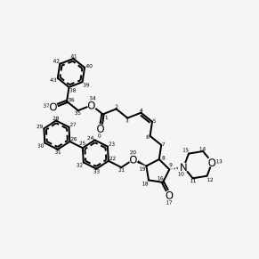 O=C(CC/C=C\CCC1[C@H](N2CCOCC2)C(=O)C[C@H]1OCc1ccc(-c2ccccc2)cc1)OCC(=O)c1ccccc1